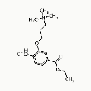 CCOC(=O)c1ccc(O)c(OCCC[N+](C)(C)C)c1.[Cl-]